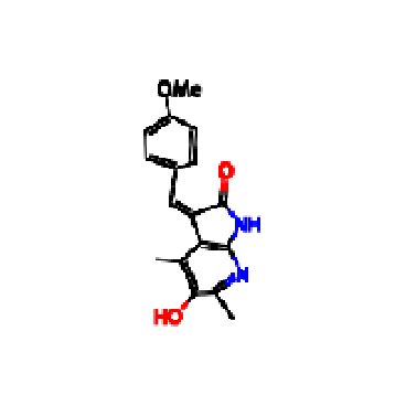 COc1ccc(C=C2C(=O)Nc3nc(C)c(O)c(C)c32)cc1